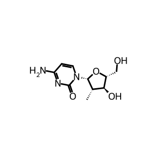 C[C@H]1[C@H](O)[C@@H](CO)O[C@H]1n1ccc(N)nc1=O